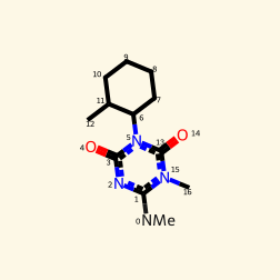 CNc1nc(=O)n(C2CCCCC2C)c(=O)n1C